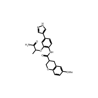 COc1ccc2c(c1)CC(C(=O)Nc1ccc(-c3cn[nH]c3)cc1OC(C)C(N)=O)CO2